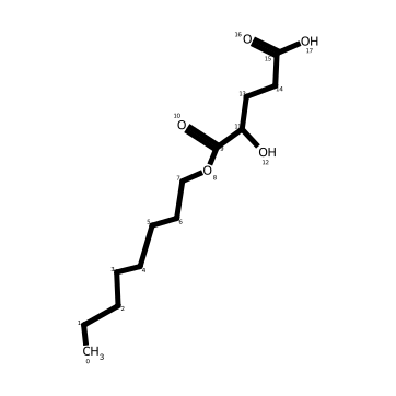 CCCCCCCCOC(=O)C(O)CCC(=O)O